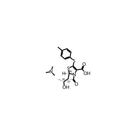 CN(C)C.Cc1ccc(SC2=C(C(=O)O)N3C(=O)[C@H]([C@@H](C)O)[C@H]3S2)cc1